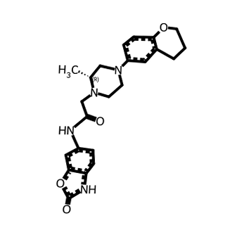 C[C@@H]1CN(c2ccc3c(c2)CCCO3)CCN1CC(=O)Nc1ccc2[nH]c(=O)oc2c1